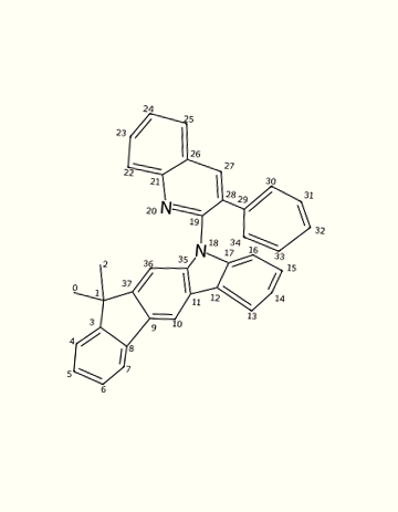 CC1(C)c2ccccc2-c2cc3c4ccccc4n(-c4nc5ccccc5cc4-c4ccccc4)c3cc21